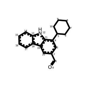 O=Cc1cc(C2CCCCC2)c2[nH]c3ccccc3c2c1